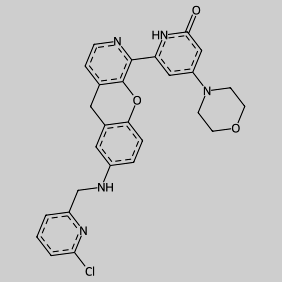 O=c1cc(N2CCOCC2)cc(-c2nccc3c2Oc2ccc(NCc4cccc(Cl)n4)cc2C3)[nH]1